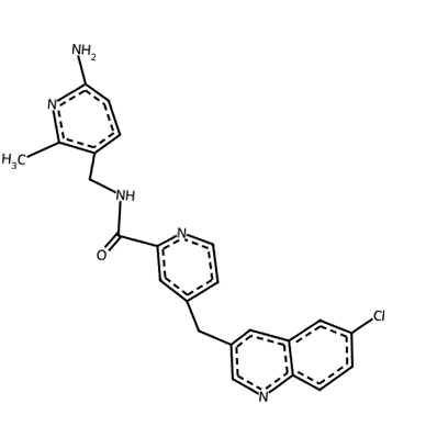 Cc1nc(N)ccc1CNC(=O)c1cc(Cc2cnc3ccc(Cl)cc3c2)ccn1